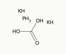 O=C(O)O.P.[KH].[KH]